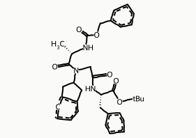 C[C@H](NC(=O)OCc1ccccc1)C(=O)N(CC(=O)N[C@@H](Cc1ccccc1)C(=O)OC(C)(C)C)C1Cc2ccccc2C1